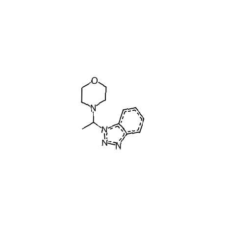 CC(N1CCOCC1)n1nnc2ccccc21